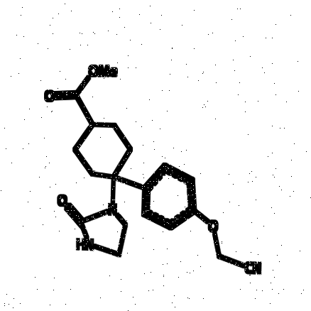 COC(=O)C1CCC(c2ccc(OCC#N)cc2)(N2CCNC2=O)CC1